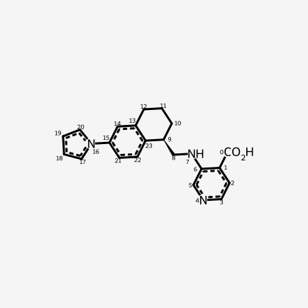 O=C(O)c1ccncc1NC[C@@H]1CCCc2cc(-n3cccc3)ccc21